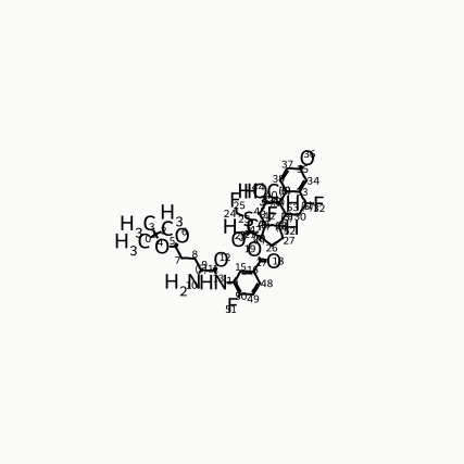 CC(C)(C)OC(=O)CC[C@H](N)C(=O)Nc1cc(C(=O)O[C@]2(C(=O)SCF)CC[C@H]3[C@@H]4C[C@H](F)C5=CC(=O)C=C[C@]5(C)[C@@]4(F)[C@@H](O)C[C@@]32C)ccc1F